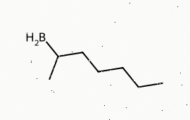 BC(C)CCCCC